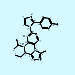 CCC1c2nnc(C)n2-c2cnc(-n3ccnc3-c3ccc(F)cc3)nc2N1C(C)C